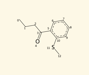 CCCC(=O)c1ccccc1SC